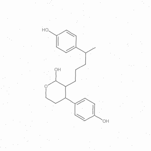 CC(CCCC1C(O)OCCC1c1ccc(O)cc1)c1ccc(O)cc1